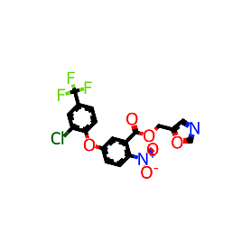 O=C(OCc1cnco1)c1cc(Oc2ccc(C(F)(F)F)cc2Cl)ccc1[N+](=O)[O-]